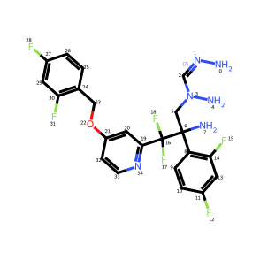 N/N=C\N(N)CC(N)(c1ccc(F)cc1F)C(F)(F)c1cc(OCc2ccc(F)cc2F)ccn1